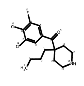 CCCCC1(C(=O)c2cc(F)c(Cl)c(Cl)c2)CCNCC1